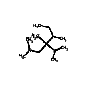 CCC(C)C([SiH3])(CN(C)C)N(C)C